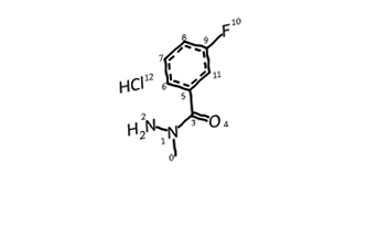 CN(N)C(=O)c1cccc(F)c1.Cl